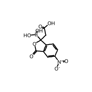 O=C(O)CC1(B(O)O)OC(=O)c2cc([N+](=O)[O-])ccc21